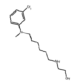 CN(CCCCCCNCCO)c1cccc(C(F)(F)F)c1